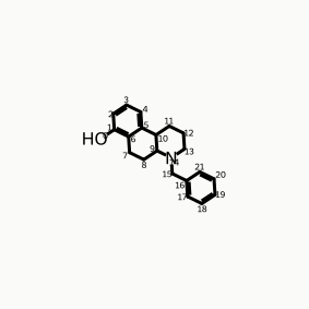 Oc1cccc2c1CCC1C2CCCN1Cc1ccccc1